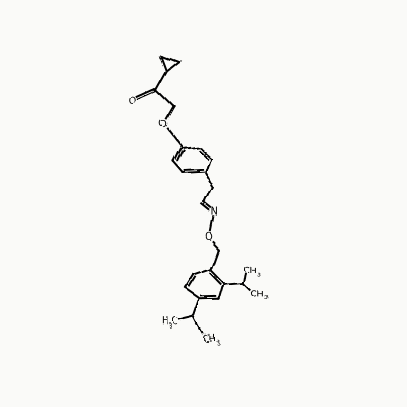 CC(C)c1ccc(CON=CCc2ccc(OCC(=O)C3CC3)cc2)c(C(C)C)c1